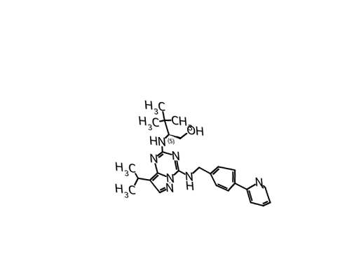 CC(C)c1cnn2c(NCc3ccc(-c4ccccn4)cc3)nc(N[C@H](CO)C(C)(C)C)nc12